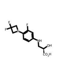 O=C(O)[C@H](O)CNc1ccc(N2CC(F)(F)C2)c(F)c1